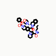 CCCCN(C)C(=O)c1cc(-c2cc3c(cc2C(=O)N2Cc4ccccc4C[C@H]2CN2CCOCC2)CN(C(=O)Oc2ccccc2)CC3)n2c1CCCC2